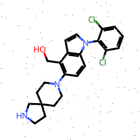 OCc1c(N2CCC3(CCNC3)CC2)ccc2c1ccn2-c1c(Cl)cccc1Cl